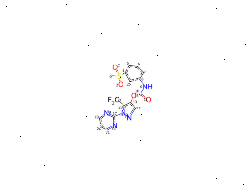 CS(=O)(=O)c1cccc(NC(=O)Oc2cnn(-c3ncccn3)c2C(F)(F)F)c1